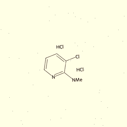 CNc1ncccc1Cl.Cl.Cl